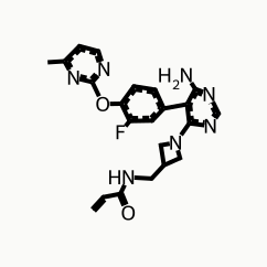 C=CC(=O)NCC1CN(c2ncnc(N)c2-c2ccc(Oc3nccc(C)n3)c(F)c2)C1